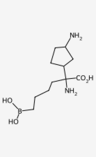 NC1CCC(C(N)(CCCCB(O)O)C(=O)O)C1